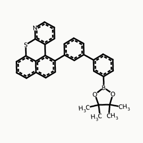 CC1(C)OB(c2cccc(-c3cccc(-c4ccc5cccc6c5c4-c4cccnc4S6)c3)c2)OC1(C)C